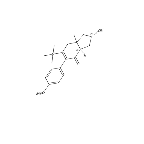 C=C1C(c2ccc(OC)cc2)=C([Si](C)(C)C)CC2(C)C[C@H](O)C[C@@H]12